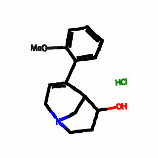 COc1ccccc1C1=CCN2CCC(O)C1C2.Cl